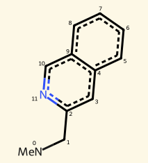 [CH2]NCc1cc2ccccc2cn1